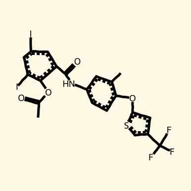 CC(=O)Oc1c(I)cc(I)cc1C(=O)Nc1ccc(Oc2cc(C(F)(F)F)cs2)c(C)c1